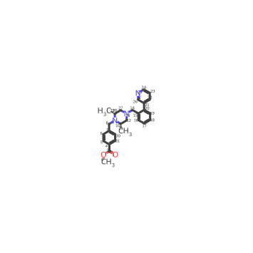 COC(=O)c1ccc(CN2[C@H](C)CN(Cc3ccccc3-c3cccnc3)C[C@@H]2C)cc1